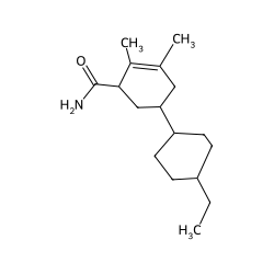 CCC1CCC(C2CC(C)=C(C)C(C(N)=O)C2)CC1